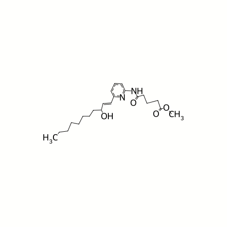 CCCCCCCCC(O)C=Cc1cccc(NC(=O)CCCC(=O)OC)n1